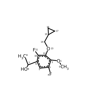 COc1c(F)cc(C(C)O)c(F)c1OCC1CC1